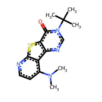 CN(C)c1ccnc2sc3c(=O)n(C(C)(C)C)cnc3c12